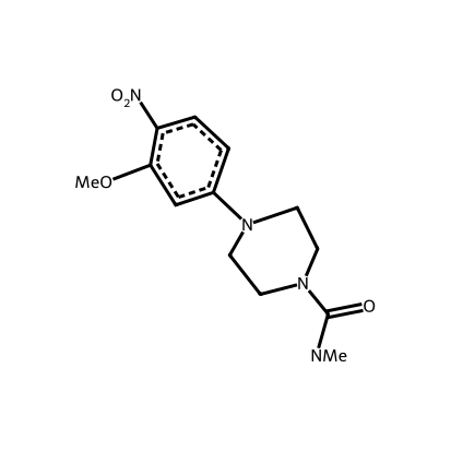 CNC(=O)N1CCN(c2ccc([N+](=O)[O-])c(OC)c2)CC1